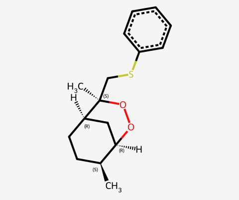 C[C@H]1CC[C@@H]2C[C@H]1OO[C@]2(C)CSc1ccccc1